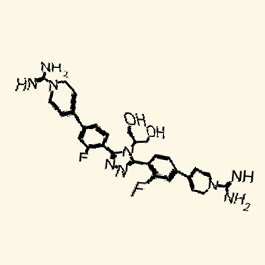 N=C(N)N1CC=C(c2ccc(-c3nnc(-c4ccc(C5=CCN(C(=N)N)CC5)cc4F)n3C(CO)CO)c(F)c2)CC1